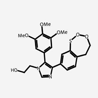 COc1cc(-c2c(-c3ccc4c(c3)SOOCC4)ncn2CCO)cc(OC)c1OC